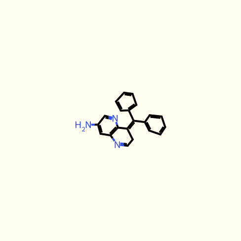 Nc1cnc2c(c1)N=CCC2=C(c1ccccc1)c1ccccc1